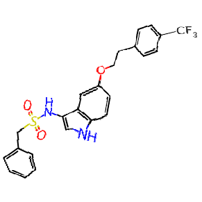 O=S(=O)(Cc1ccccc1)Nc1c[nH]c2ccc(OCCc3ccc(C(F)(F)F)cc3)cc12